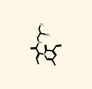 C=CC1=CC(C)=CN(/C(=C\C)C(=C)NCC(N)CC(F)(F)F)C1=C